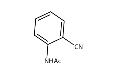 CC(=O)Nc1ccccc1C#N